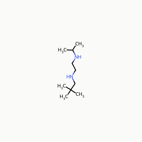 CC(C)NCCNCC(C)(C)C